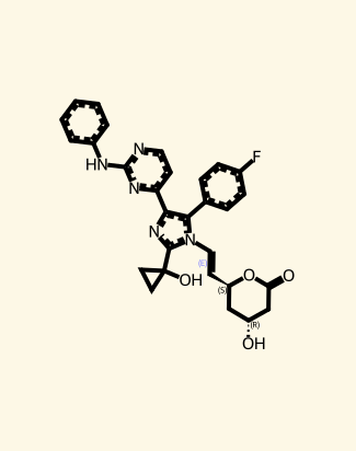 O=C1C[C@H](O)C[C@@H](/C=C/n2c(C3(O)CC3)nc(-c3ccnc(Nc4ccccc4)n3)c2-c2ccc(F)cc2)O1